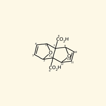 O=C(O)C12C3C=CC(O3)C1(C(=O)O)C1C=CC2O1